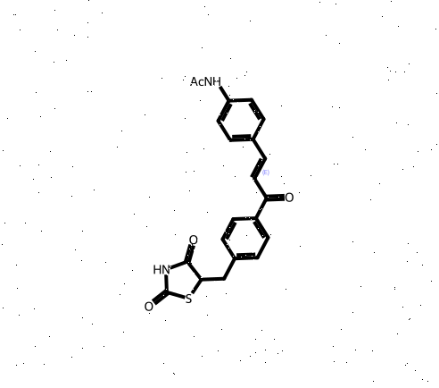 CC(=O)Nc1ccc(/C=C/C(=O)c2ccc(CC3SC(=O)NC3=O)cc2)cc1